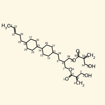 C=C(CO)C(=O)OCC(CCC1CCC(C2CCC(CC/C=C/C)CC2)CC1)COC(=O)C(=C)CO